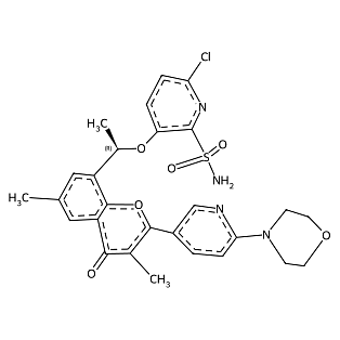 Cc1cc([C@@H](C)Oc2ccc(Cl)nc2S(N)(=O)=O)c2oc(-c3ccc(N4CCOCC4)nc3)c(C)c(=O)c2c1